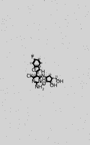 Nc1nc(Cl)c(-c2cc3ccc(F)cc3o2)c(N[C@@H]2C[C@H](CO)[C@@H](O)[C@H]2O)n1